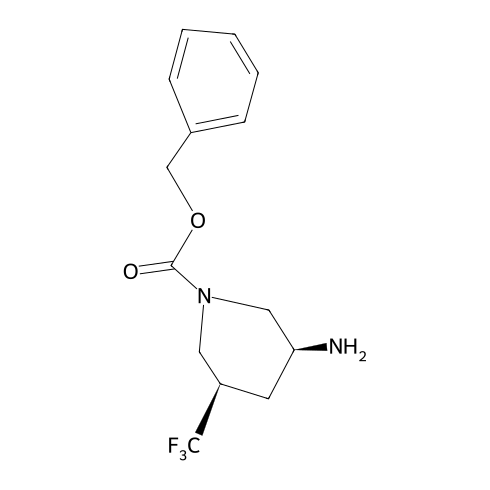 N[C@H]1C[C@@H](C(F)(F)F)CN(C(=O)OCc2ccccc2)C1